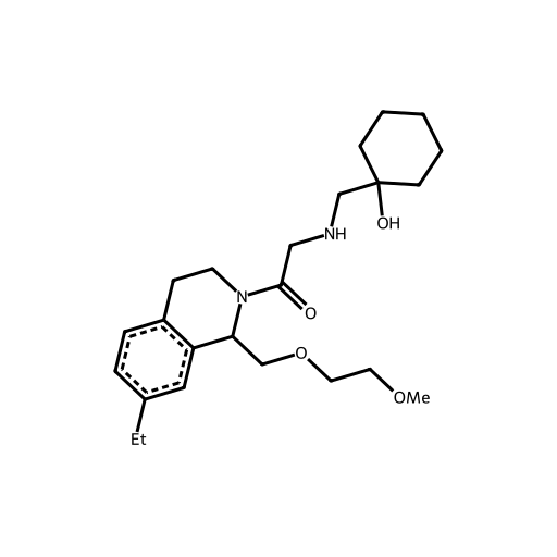 CCc1ccc2c(c1)C(COCCOC)N(C(=O)CNCC1(O)CCCCC1)CC2